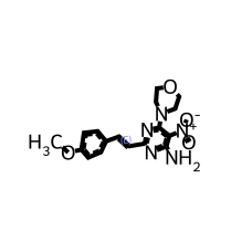 COc1ccc(/C=C/c2nc(N)c([N+](=O)[O-])c(N3CCOCC3)n2)cc1